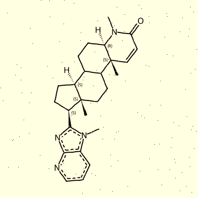 CN1C(=O)C=C[C@]2(C)C3CC[C@]4(C)[C@@H](c5nc6ncccc6n5C)CC[C@H]4C3CC[C@@H]12